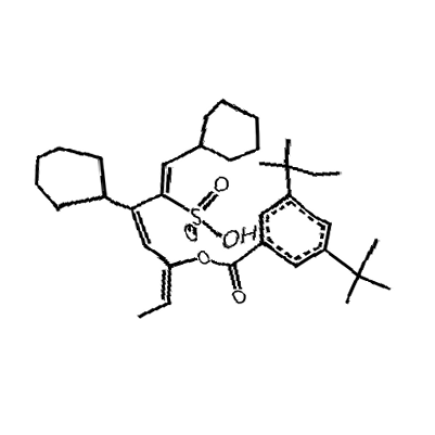 C\C=C(/C=C(\C(=C\C1CCCCC1)S(=O)(=O)O)C1CCCCC1)OC(=O)c1cc(C(C)(C)C)cc(C(C)(C)C)c1